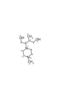 CC(CO)C(CO)N1CCN(C)CC1